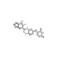 Cc1c(N2CCc3ncc(Oc4ccc(F)cc4F)cc3C2)nn2cnnc2c1C